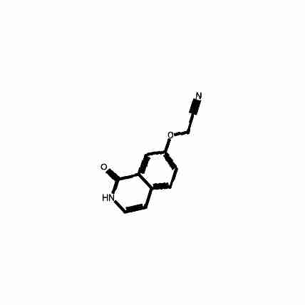 N#CCOc1ccc2cc[nH]c(=O)c2c1